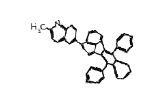 Cc1ccc2cc(-c3ccc4c5c(cccc35)-c3c-4c(-c4ccccc4)c4ccccc4c3-c3ccccc3)ccc2n1